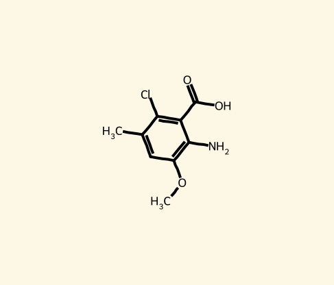 COc1cc(C)c(Cl)c(C(=O)O)c1N